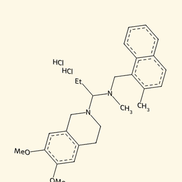 CCC(N(C)Cc1c(C)ccc2ccccc12)N1CCc2cc(OC)c(OC)cc2C1.Cl.Cl